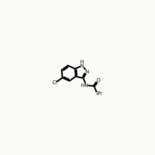 CC(C)C(=O)Nc1n[nH]c2ccc(Cl)cc12